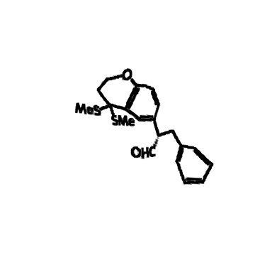 CSC1(SC)CCOc2ccc([C@@H](C=O)Cc3ccccc3)cc21